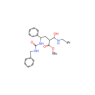 CC(C)CNC(O)C(CC(NC(=O)NCc1ccccc1)c1ccccc1)C(=O)OC(C)(C)C